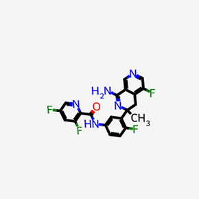 CC1(c2cc(NC(=O)c3ncc(F)cc3F)ccc2F)Cc2c(F)cncc2C(N)=N1